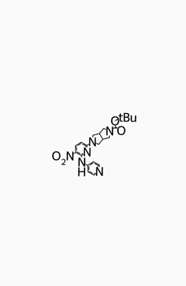 CC(C)(C)OC(=O)N1CC2CN(c3ccc([N+](=O)[O-])c(Nc4ccncc4)n3)CC2C1